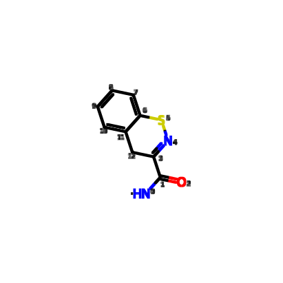 [NH]C(=O)C1=NSc2ccccc2C1